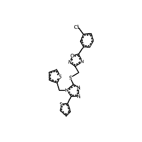 Clc1cccc(-c2nc(CSc3nnc(-c4cccs4)n3Cc3cccs3)no2)c1